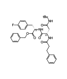 CC(C)(C)NC(=O)C[C@H](NC(=O)CCc1ccccc1)C(=O)N[C@@H](Cc1ccc(F)cc1)C(=O)OCc1ccccc1